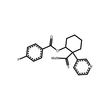 CNC(=S)C1(c2cccnc2)CCCCC1OC(=O)c1ccc(F)cc1